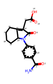 NC(=O)c1ccc(N2C(=O)C(CC(=O)O)=C3CCCCC32)cc1